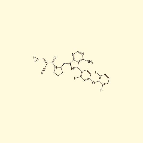 N#CC(=CC1CC1)C(=O)N1CCC[C@@H]1Cn1nc(-c2ccc(Oc3c(F)cccc3F)cc2F)c2c(N)ncnc21